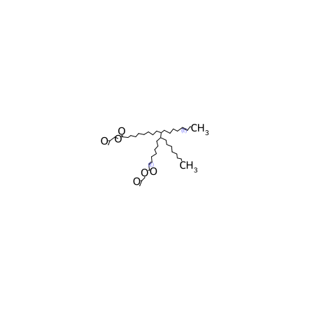 CC/C=C/CCCCC(CCCCCCCCC(=O)OCC1CO1)C(CCCCC/C=C/C(=O)OCC1CO1)CCCCCCCC